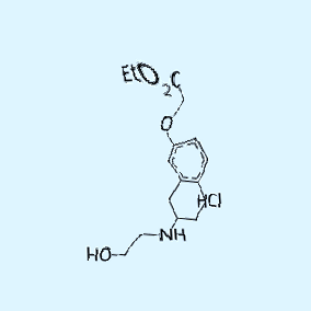 CCOC(=O)COc1ccc2c(c1)CC(NCCO)CC2.Cl